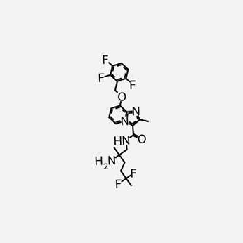 Cc1nc2c(OCc3c(F)ccc(F)c3F)cccn2c1C(=O)NCC(C)(N)CCC(C)(F)F